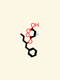 CCCC(Cc1ccccc1)OC(=O)/C=C\C(=O)O